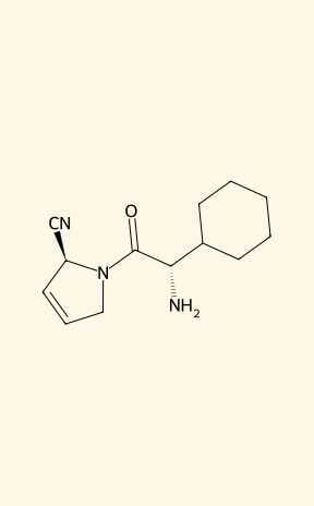 N#C[C@@H]1C=CCN1C(=O)[C@@H](N)C1CCCCC1